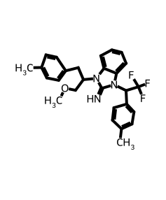 COCC(Cc1ccc(C)cc1)n1c(=N)n(C(c2ccc(C)cc2)C(F)(F)F)c2ccccc21